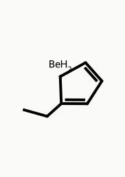 CCC1=CC=CC1.[BeH2]